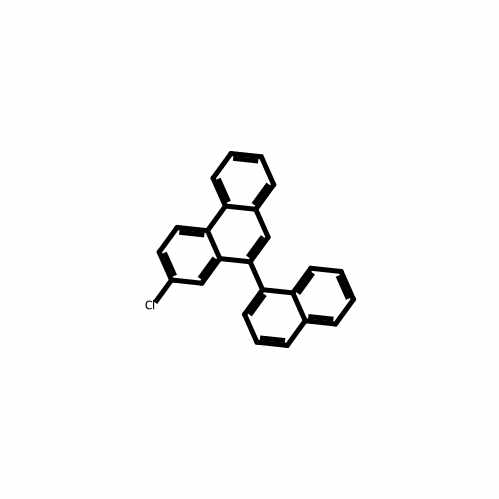 Clc1ccc2c(c1)c(-c1cccc3ccccc13)cc1ccccc12